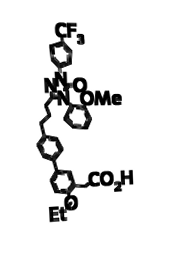 CCOc1ccc(-c2ccc(CCCc3nn(-c4ccc(C(F)(F)F)cc4)c(=O)n3-c3ccccc3OC)cc2)cc1CC(=O)O